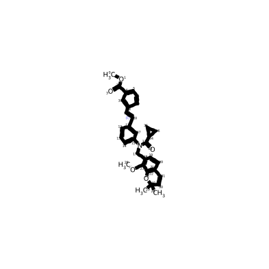 COC(=O)c1cccc(/C=C/c2cccc(N(Cc3ccc4c(c3OC)OC(C)(C)C=C4)C(=O)C3CC3)c2)c1